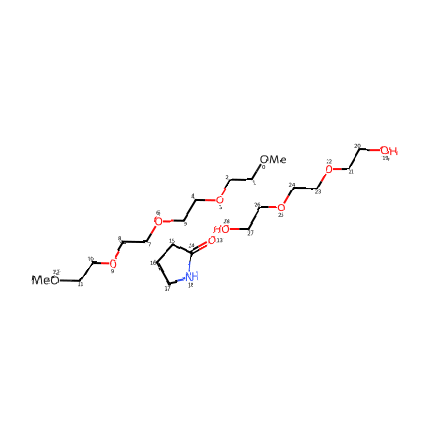 COCCOCCOCCOCCOC.O=C1CCCN1.OCCOCCOCCO